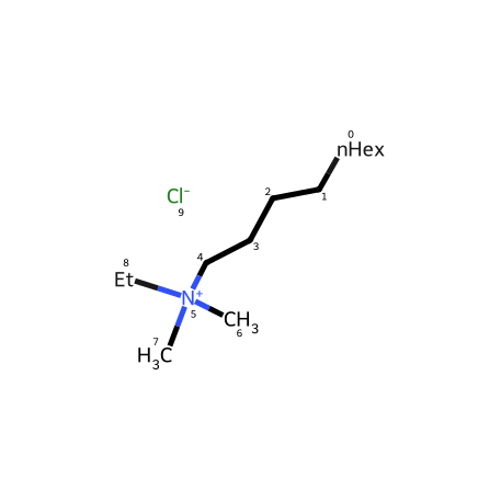 CCCCCCCCCC[N+](C)(C)CC.[Cl-]